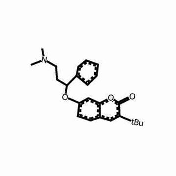 CN(C)CCC(Oc1ccc2cc(C(C)(C)C)c(=O)oc2c1)c1ccccc1